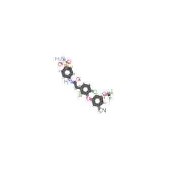 N#Cc1cc(Oc2c(Cl)ccc(CC(=O)Nc3ccc(S(N)(=O)=O)cc3)c2F)cc(OC(F)F)c1